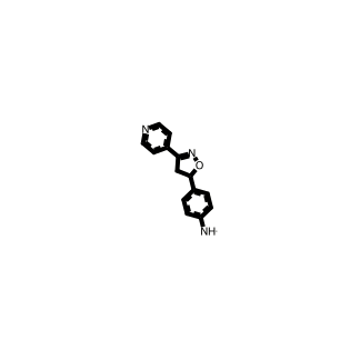 [NH]c1ccc(C2CC(c3ccncc3)=NO2)cc1